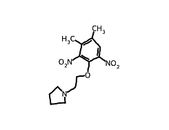 Cc1cc([N+](=O)[O-])c(OCCN2CCCC2)c([N+](=O)[O-])c1C